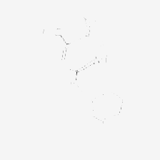 C/C(=C/C(=N)N[C@@H]1CCCN(C)C1)C(=N)Cl